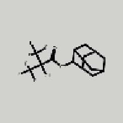 O=C(OC1C2CC3CC(C2)CC1C3)C(O)(C(F)(F)F)C(F)(F)F